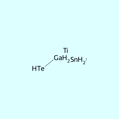 [GaH2][TeH].[SnH2].[Ti]